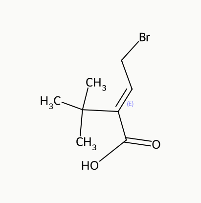 CC(C)(C)/C(=C\CBr)C(=O)O